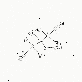 C#CC(C)(C)C(CC(=O)O)(C(=O)O)C(C)(C)C#C